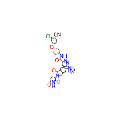 N#Cc1ccc(OC2CCC(NC(=O)c3ccc(N4CC5CC(C4)N5Cc4ccc5c(c4)CN(C4CCC(=O)NC4=O)C5=O)nn3)CC2)cc1Cl